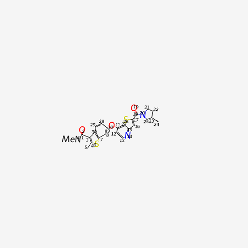 CNC(=O)c1c(C)sc2cc(Oc3ccnc4cc(C(=O)N5CC[C@@H](C)C5)sc34)ccc12